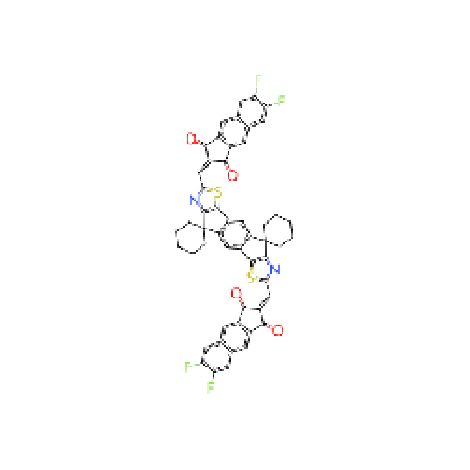 O=C1C(=Cc2nc3c(s2)-c2cc4c(cc2C32CCCCC2)-c2sc(C=C3C(=O)c5cc6cc(F)c(F)cc6cc5C3=O)nc2C42CCCCC2)C(=O)c2cc3cc(F)c(F)cc3cc21